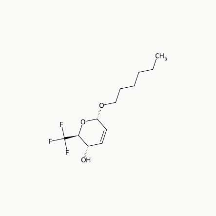 CCCCCCO[C@@H]1C=C[C@H](O)[C@@H](C(F)(F)F)O1